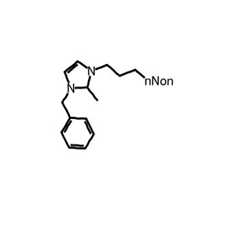 CCCCCCCCCCCCN1C=CN(Cc2ccccc2)C1C